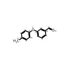 Cc1ccc(Oc2cccc(C=O)c2)cc1